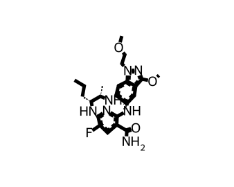 CCC[C@@H](Nc1nc(Nc2ccc3c(c2)c(OC)nn3CCOC)c(C(N)=O)cc1F)[C@H](C)N